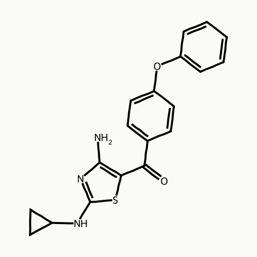 Nc1nc(NC2CC2)sc1C(=O)c1ccc(Oc2ccccc2)cc1